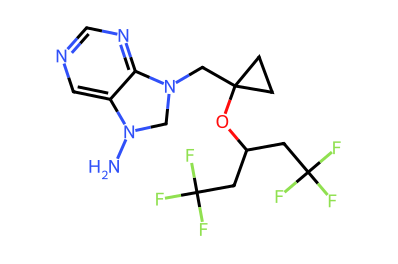 NN1CN(CC2(OC(CC(F)(F)F)CC(F)(F)F)CC2)c2ncncc21